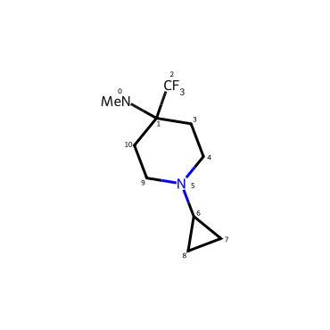 CNC1(C(F)(F)F)CCN(C2CC2)CC1